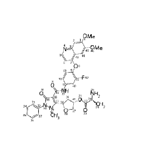 COc1cc2nccc(Oc3ccc(NC(=O)c4c([C@@H]5C[C@H](OC(=O)[C@H](C)N)CO5)n(C)n(-c5ccccc5)c4=O)cc3F)c2cc1OC